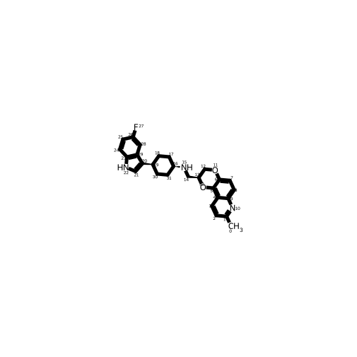 Cc1ccc2c3c(ccc2n1)OC[C@H](CN[C@H]1CC[C@H](c2c[nH]c4ccc(F)cc42)CC1)O3